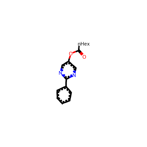 CCCCCCC(=O)Oc1cnc(-c2cc[c]cc2)nc1